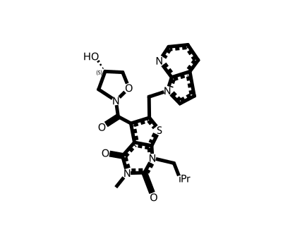 CC(C)Cn1c(=O)n(C)c(=O)c2c(C(=O)N3C[C@H](O)CO3)c(Cn3ccc4cccnc43)sc21